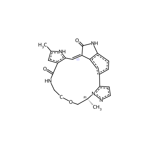 Cc1cc2c([nH]1)/C=C1\C(=O)Nc3ccc(cc31)-c1ccnn1[C@H](C)COCCNC2=O